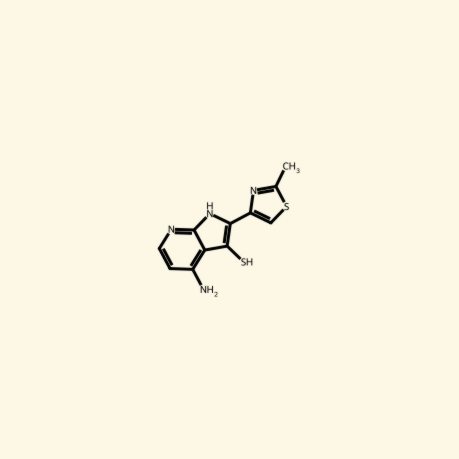 Cc1nc(-c2[nH]c3nccc(N)c3c2S)cs1